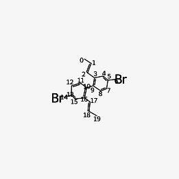 CC=Cc1cc(Br)ccc1-c1ccc(Br)cc1C=CC